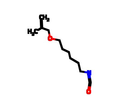 C=C(C)COCCCCCCN=C=O